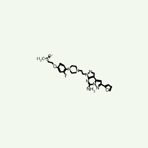 C[S@@+]([O-])CCOc1ccc(N2CCN(CCn3ncc4c3nc(N)n3nc(-c5ccco5)cc43)CC2)c(F)c1